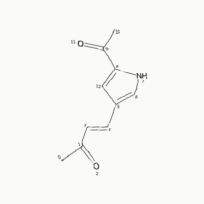 CC(=O)/C=C/c1c[nH]c(C(C)=O)c1